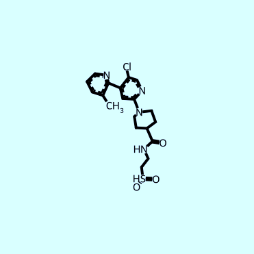 Cc1cccnc1-c1cc(N2CCC(C(=O)NCC[SH](=O)=O)CC2)ncc1Cl